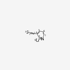 [Li+].[S-]C#Cc1cccnc1